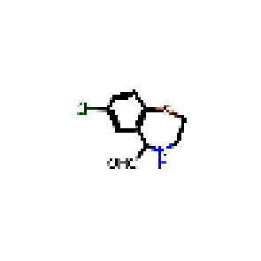 O=CC1NCCSc2ccc(Cl)cc21